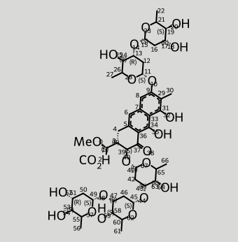 CO[C@H](C(=O)O)[C@@H]1Cc2cc3cc(O[C@H]4C[C@@H](O[C@H]5C[C@@H](O)[C@H](O)C(C)O5)[C@H](O)C(C)O4)c(C)c(O)c3c(O)c2C(=O)[C@H]1O[C@H]1C[C@@H](O[C@H]2C[C@@H](O[C@H]3C[C@@H](O)[C@H](O)C(C)O3)[C@@H](O)C(C)O2)[C@H](O)C(C)O1